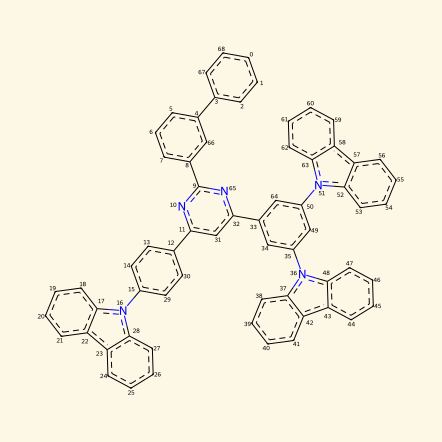 c1ccc(-c2cccc(-c3nc(-c4ccc(-n5c6ccccc6c6ccccc65)cc4)cc(-c4cc(-n5c6ccccc6c6ccccc65)cc(-n5c6ccccc6c6ccccc65)c4)n3)c2)cc1